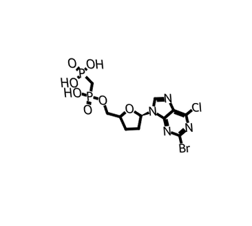 O=P(O)(O)CP(=O)(O)OCC1CC[C@H](n2cnc3c(Cl)nc(Br)nc32)O1